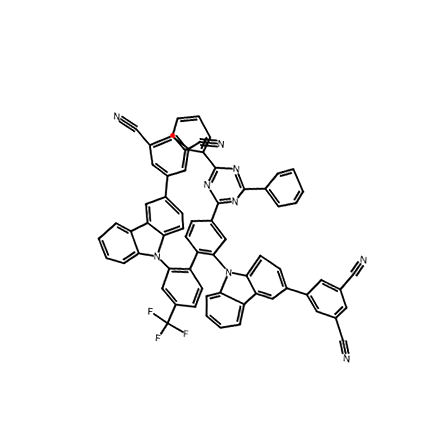 N#Cc1cc(C#N)cc(-c2ccc3c(c2)c2ccccc2n3-c2cc(-c3nc(-c4ccccc4)nc(-c4ccccc4)n3)ccc2-c2ccc(C(F)(F)F)cc2-n2c3ccccc3c3cc(-c4cc(C#N)cc(C#N)c4)ccc32)c1